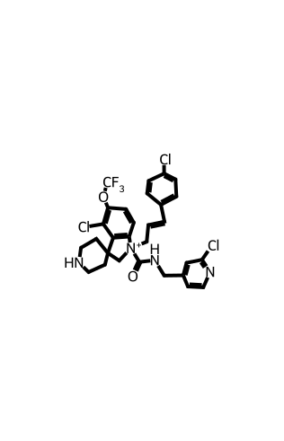 O=C(NCc1ccnc(Cl)c1)[N+]1(C/C=C/c2ccc(Cl)cc2)CC2(CCNCC2)c2c1ccc(OC(F)(F)F)c2Cl